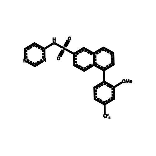 COc1cc(C(F)(F)F)ccc1-c1cccc2cc(S(=O)(=O)Nc3ccncn3)ccc12